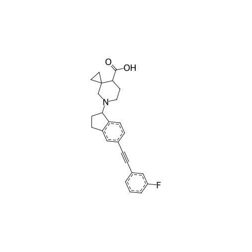 O=C(O)C1CCN(C2CCc3cc(C#Cc4cccc(F)c4)ccc32)CC12CC2